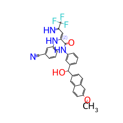 COc1ccc2cc(C(O)c3cccc(NC(=O)/C(=C/C(=N)C(F)(F)F)Nc4cccc(C#N)c4)c3)ccc2c1